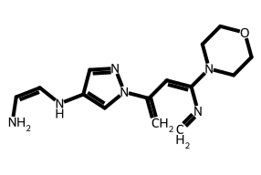 C=N/C(=C\C(=C)n1cc(N/C=C\N)cn1)N1CCOCC1